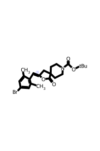 Cc1cc(Br)cc(C)c1/C=C1/CC2(CCN(C(=O)OC(C)(C)C)CC2)C(=O)O1